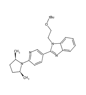 C[C@@H]1CC[C@H](C)N1c1ccc(-c2nc3ccccc3n2CCOC(C)(C)C)cn1